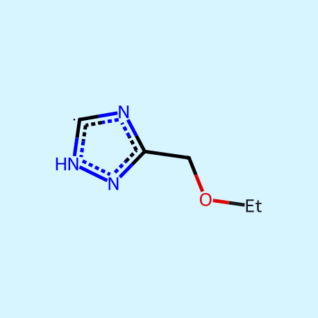 CCOCc1n[c][nH]n1